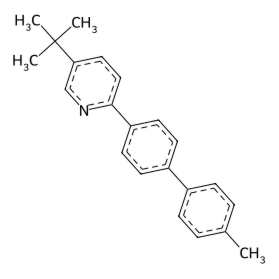 Cc1ccc(-c2ccc(-c3ccc(C(C)(C)C)cn3)cc2)cc1